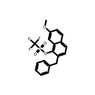 COc1ccc2ccc(Cc3ccccc3)c(OS(=O)(=O)C(F)(F)F)c2c1